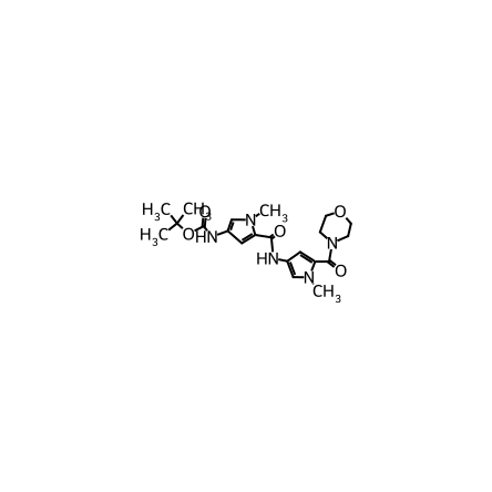 Cn1cc(NC(=O)OC(C)(C)C)cc1C(=O)Nc1cc(C(=O)N2CCOCC2)n(C)c1